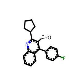 O=Cc1c(C2CCCC2)nc2ccccc2c1-c1ccc(F)cc1